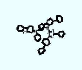 c1ccc(-c2ccc(-c3nc(-c4ccccc4)nc(-n4c5cc(-c6ccccc6)ccc5c5ccc(N(c6ccccc6)c6ccc7c(c6)oc6ccccc67)cc54)n3)cc2)cc1